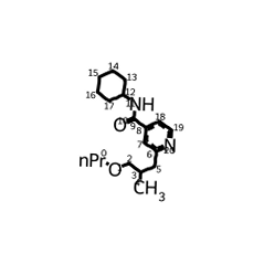 CCCOCC(C)Cc1cc(C(=O)NC2CCCCC2)ccn1